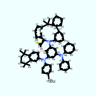 CC(C)(C)c1ccc(N2c3cc4c(cc3B3c5sc6ccc7cc6c5N(c5cccc(c5)-c5ccccc5C7(C)C)c5cc(N(c6ccccc6)c6ccccc6)cc2c53)C(C)(C)CCC4(C)C)cc1